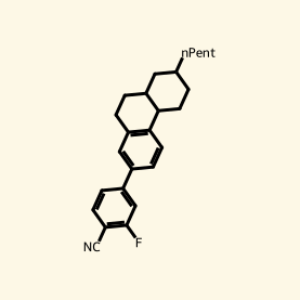 CCCCCC1CCC2c3ccc(-c4ccc(C#N)c(F)c4)cc3CCC2C1